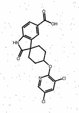 O=C(O)c1ccc2c(c1)C1(CCC(Oc3ncc(Cl)cc3Cl)CC1)C(=O)N2